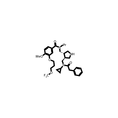 COc1ccc(C(=O)N(C[C@@H]2CNC[C@H]2CN(C(=O)Cc2ccccc2)C2CC2)C(C)C)cc1OCCCOC(F)(F)F